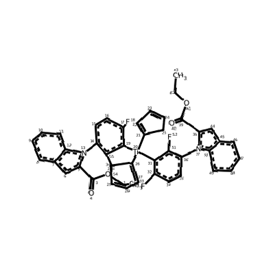 CCOC(=O)c1cc2ccccc2n1-c1ccc(F)[c]([Ti]([C]2=CC=CC2)([C]2=CC=CC2)[c]2c(F)ccc(-n3c(C(=O)OCC)cc4ccccc43)c2F)c1F